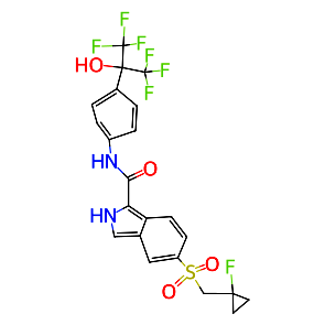 O=C(Nc1ccc(C(O)(C(F)(F)F)C(F)(F)F)cc1)c1[nH]cc2cc(S(=O)(=O)CC3(F)CC3)ccc12